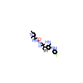 Cc1ccc(C(C)(C)NC(=O)NCC(C)(C)C(CC(C)C)c2ccc(Nc3ccc(F)cc3)c(C=N)c2)c(C)n1